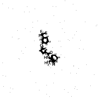 C[C@H]1[C@H](NC(=O)c2ccc(Oc3cccc(C(F)(F)F)c3)s2)C2CCN1CC2